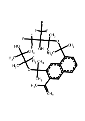 C=C(C)c1cc2cccc(C(C)(C)OC(C)(C)C(O)(C(F)(F)F)C(F)(F)F)c2cc1C(C)(C)OC(C)(C)C(C)(C)O